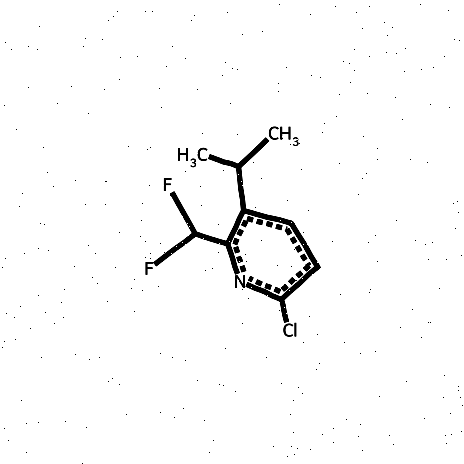 CC(C)c1ccc(Cl)nc1C(F)F